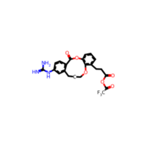 N=C(N)Nc1ccc2c(c1)CCCOc1c(CCC(=O)OC(=O)C(F)(F)F)cccc1OC2=O